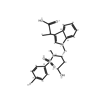 CC(C(=O)O)c1cn(C[C@H](CCO)N(C)S(=O)(=O)c2ccc(F)cc2)c2ccccc12